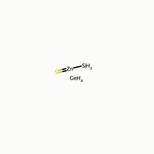 [GeH4].[SiH3][Zn]=[S]